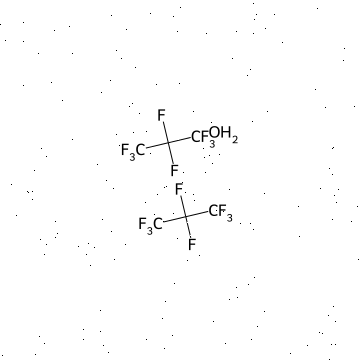 FC(F)(F)C(F)(F)C(F)(F)F.FC(F)(F)C(F)(F)C(F)(F)F.O